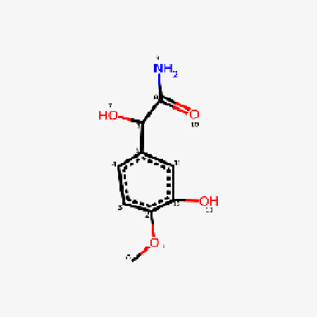 COc1ccc(C(O)C(N)=O)cc1O